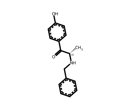 C[C@H](NCc1ccccc1)C(=O)c1ccc(O)cc1